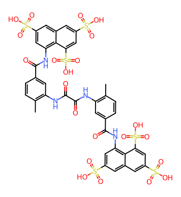 Cc1ccc(C(=O)Nc2cc(S(=O)(=O)O)cc3cc(S(=O)(=O)O)cc(S(=O)(=O)O)c23)cc1NC(=O)C(=O)Nc1cc(C(=O)Nc2cc(S(=O)(=O)O)cc3cc(S(=O)(=O)O)cc(S(=O)(=O)O)c23)ccc1C